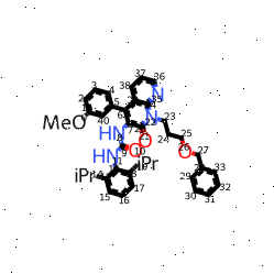 COc1cccc(-c2c(NC(=O)Nc3c(C(C)C)cccc3C(C)C)c(=O)n(CCCOCc3ccccc3)c3ncccc23)c1